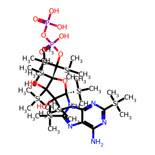 C[Si](C)(C)c1nc(N)c2nc([Si](C)(C)C)n([C@]3([Si](C)(C)C)O[C@@](C(OP(=O)(O)OP(=O)(O)O)([Si](C)(C)C)[Si](C)(C)C)([Si](C)(C)C)C(O)([Si](C)(C)C)C3(O)[Si](C)(C)C)c2n1